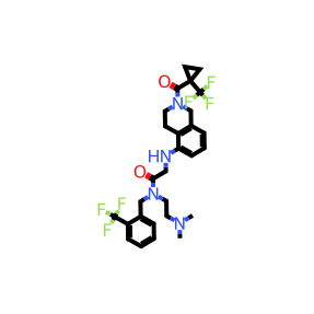 CN(C)CCN(Cc1ccccc1C(F)(F)F)C(=O)CNc1cccc2c1CCN(C(=O)C1(C(F)(F)F)CC1)C2